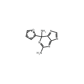 NC1=NC(N)(c2ccco2)C2=NC=NC2=N1